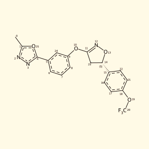 Cc1nnc(-c2cccc(OC3=NO[C@H](c4ccc(OC(F)(F)F)cc4)C3)c2)o1